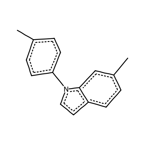 Cc1ccc(-n2ccc3ccc(C)cc32)cc1